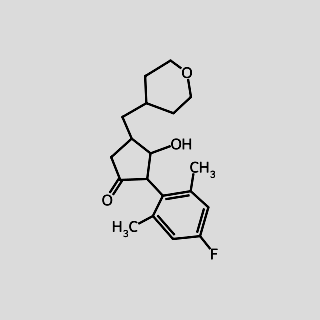 Cc1cc(F)cc(C)c1C1C(=O)CC(CC2CCOCC2)C1O